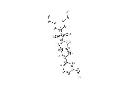 CCCCN(CCCC)S(=O)(=O)c1nn2cc(-c3cccc(OC)c3)nc2s1